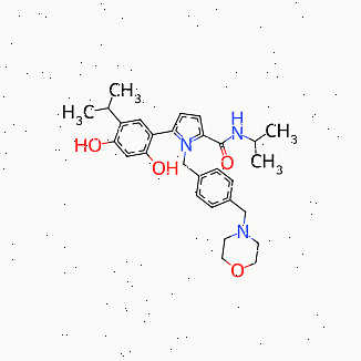 CC(C)NC(=O)c1ccc(-c2cc(C(C)C)c(O)cc2O)n1Cc1ccc(CN2CCOCC2)cc1